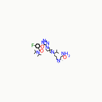 CC(C)[C@@H](CCCN(C)[C@@H](C)CC(N)=O)N1CC2(CCN(c3ncnnc3Oc3ccc(F)cc3C(=O)N(C(C)C)C(C)C)C2)C1